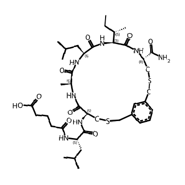 CC[C@H](C)[C@@H]1NC(=O)[C@H](CC(C)C)NC(=O)[C@H](C)NC(=O)[C@H](NC(=O)[C@H](CC(C)C)NC(=O)CCCC(=O)O)CSCc2cccc(c2)CSC[C@@H](C(N)=O)NC1=O